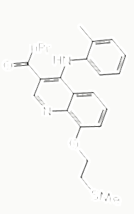 CCCC(=O)c1cnc2c(OCCSC)cccc2c1Nc1ccccc1C